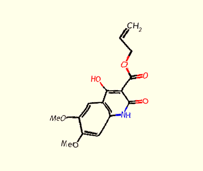 C=CCOC(=O)c1c(O)c2cc(OC)c(OC)cc2[nH]c1=O